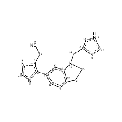 N#CCn1nnnc1-c1ccc2c(c1)N(Cc1c[nH]cn1)CC2